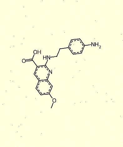 COc1ccc2cc(C(=O)O)c(NCCc3ccc(N)cc3)nc2c1